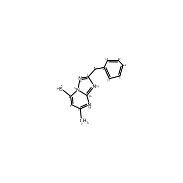 Cc1cc(S)n2nc(Cc3ccccc3)nc2n1